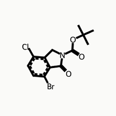 CC(C)(C)OC(=O)N1Cc2c(Cl)ccc(Br)c2C1=O